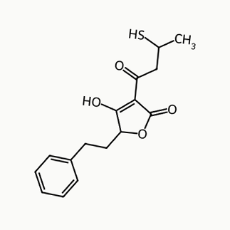 CC(S)CC(=O)C1=C(O)C(CCc2ccccc2)OC1=O